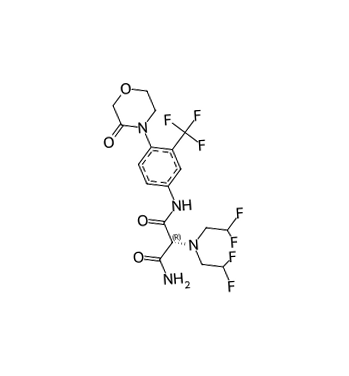 NC(=O)[C@H](C(=O)Nc1ccc(N2CCOCC2=O)c(C(F)(F)F)c1)N(CC(F)F)CC(F)F